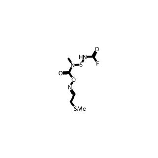 CSCC=NOC(=O)N(C)SNC(=O)F